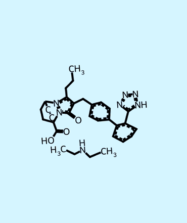 CCCc1c(Cc2ccc(-c3ccccc3-c3nnn[nH]3)cc2)c(=O)n2n1C1CCC2(C(=O)O)CC1.CCNCC